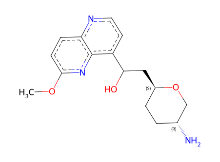 COc1ccc2nccc(C(O)C[C@@H]3CC[C@@H](N)CO3)c2n1